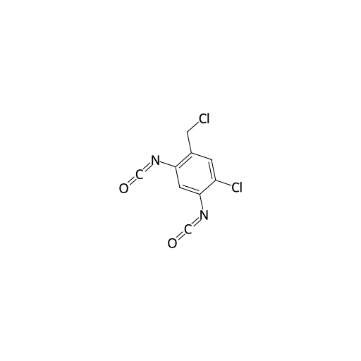 O=C=Nc1cc(N=C=O)c(CCl)cc1Cl